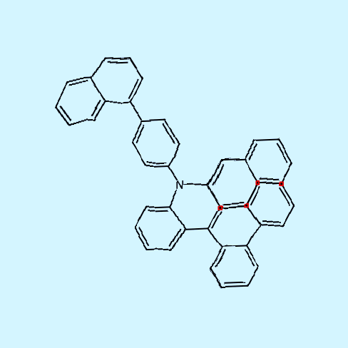 c1ccc(N(c2ccc(-c3cccc4ccccc34)cc2)c2ccc3ccccc3c2)c(-c2cc3ccccc3c3ccccc23)c1